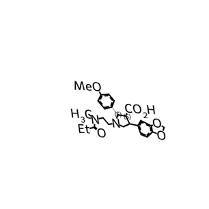 CCC(=O)N(C)CCN1CC(c2ccc3c(c2)OCO3)[C@H](C(=O)O)[C@H]1c1ccc(OC)cc1